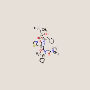 CC(C)C[C@H](O)[C@H](O)[C@H](CC1CCCCC1)NC(=O)[C@@H](CC(=O)N(CC(=O)N(C)C)C[C@@H](C)c1ccccc1)Cc1nccs1